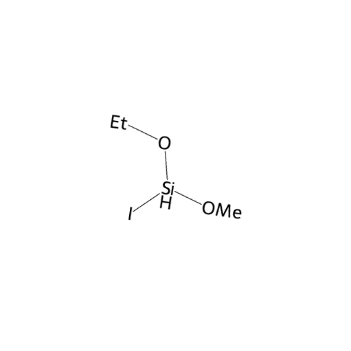 CCO[SiH](I)OC